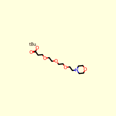 CC(C)(C)OC(=O)CCOCCOCCOCCN1CCOCC1